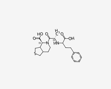 C[C@H](NC(CCc1ccccc1)C(=O)O)C(=O)N1CCC2CSCC2[C@H]1C(=O)O